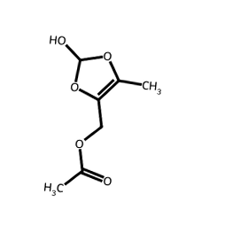 CC(=O)OCC1=C(C)OC(O)O1